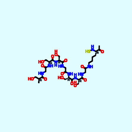 CC(=O)[C@H](CCCCNC(=O)CNC(=O)[C@H](CO)NC(=O)[C@H](CO)NC(=O)CNC(=O)[C@H](CO)NC(=O)[C@H](CO)NC(=O)CNC(=O)[C@@H](C)CO)NS